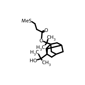 CSCCC(=O)OC(C)(C)C12CC3CC(CC(C(C)(C)O)(C3)C1)C2